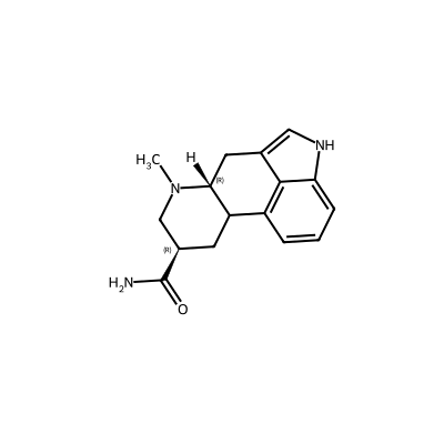 CN1C[C@H](C(N)=O)CC2c3cccc4[nH]cc(c34)C[C@H]21